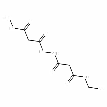 O=C(CC(=O)NNC(=O)CC(=O)NCS)NP